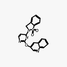 O=S1(=O)c2ccccc2CN1c1ccnc(Oc2cnc3ccccc3c2)n1